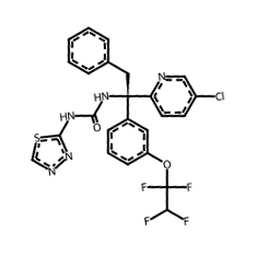 O=C(Nc1nncs1)N[C@@](Cc1ccccc1)(c1cccc(OC(F)(F)C(F)F)c1)c1ccc(Cl)cn1